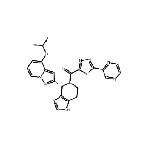 O=C(c1nnc(-c2cnccn2)o1)N1CCc2[nH]cnc2[C@@H]1c1cc2c(OC(F)F)cccn2n1